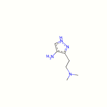 CN(C)CCc1n[nH]cc1N